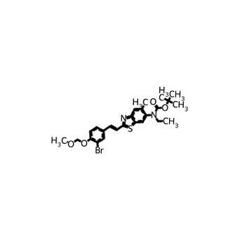 CCN(C(=O)OC(C)(C)C)c1cc2sc(/C=C/c3ccc(OCOC)c(Br)c3)nc2cc1C